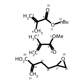 C=C(C)C(=O)OC.C=C(C)C(=O)OCCCC.C=C(CCC1CO1)C(=O)O